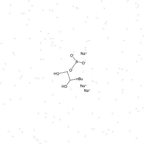 CCCCC(O)CO.[Na+].[Na+].[Na+].[O-]B([O-])[O-]